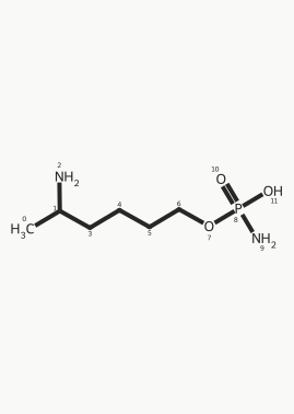 CC(N)CCCCOP(N)(=O)O